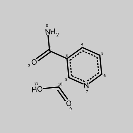 NC(=O)c1cccnc1.O=CO